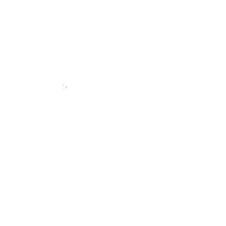 COc1cc2c(cc1OC)-c1c(O)c(OC)cc3c1C(C2)N(CC(=O)Nc1c(C)cccc1C)CC3